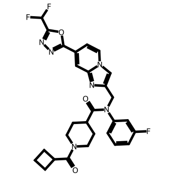 O=C(C1CCC1)N1CCC(C(=O)N(Cc2cn3ccc(-c4nnc(C(F)F)o4)cc3n2)c2cccc(F)c2)CC1